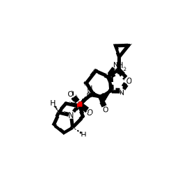 NC1CCC(S(=O)(=O)N2[C@@H]3CC[C@H]2CC(NC(=O)c2cc(C4CC4)on2)C3)CC1